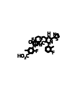 CCOC(=O)C1=C(CN2CC[C@]3(F)C(=O)N(c4cc(C)c(C(=O)O)cc4F)C[C@@H]3C2)NC(c2nccs2)=N[C@H]1c1cccc(F)c1C